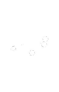 CCCC(CCc1cccc(OCc2ccc3ccccc3n2)c1)Cc1nnn[nH]1